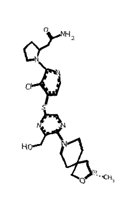 C[C@H]1CC2(CCN(c3ncc(Sc4ccnc(N5CCCC5CC(N)=O)c4Cl)nc3CO)CC2)CO1